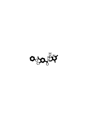 Cc1cc(C)c(CNC(=O)c2ccc(C(C)Oc3ccccc3)c(Cl)c2)c(O)n1